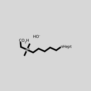 CCCCCCCCCCCC[N+](C)(C)CC(=O)O.[OH-]